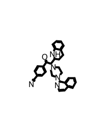 N#Cc1ccc(C(=O)C(C2CCc3ccccc3N2)N2CCN(c3nccc4ccccc34)CC2)cc1